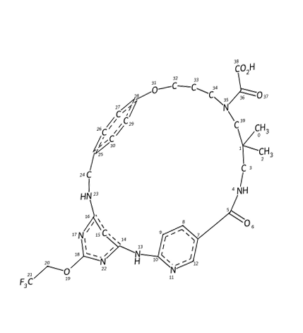 CC1(C)CNC(=O)c2ccc(nc2)Nc2cc(nc(OCC(F)(F)F)n2)NCc2ccc(cc2)OCCCN(C(=O)C(=O)O)C1